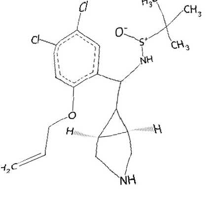 C=CCOc1cc(Cl)c(Cl)cc1C(N[S+]([O-])C(C)(C)C)C1[C@H]2CNC[C@@H]12